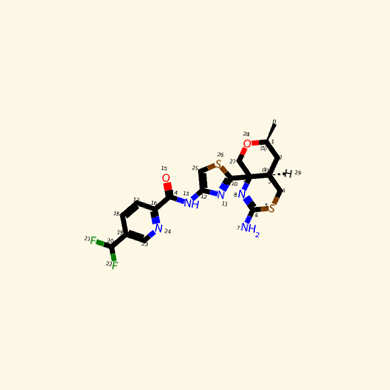 C[C@H]1C[C@H]2CSC(N)=NC2(c2nc(NC(=O)c3ccc(C(F)F)cn3)cs2)CO1